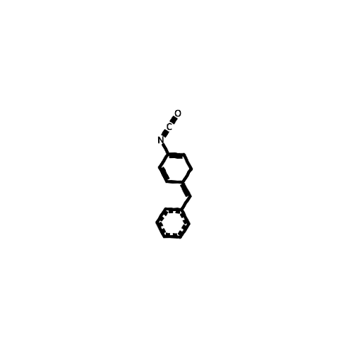 O=C=NC1=CCC(=Cc2ccccc2)C=C1